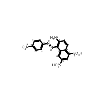 Nc1ccc2c(S(=O)(=O)O)cc(S(=O)(=O)O)cc2c1/N=N/c1ccc([N+](=O)[O-])cc1